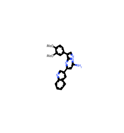 COc1ccc(-c2cnn3c(N)cc(-c4cnc5ccccc5c4)nc23)cc1OC